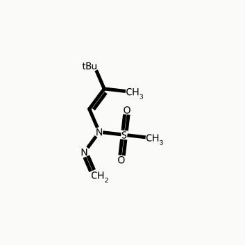 C=NN(/C=C(\C)C(C)(C)C)S(C)(=O)=O